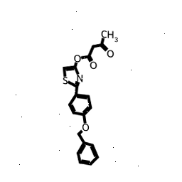 CC(=O)CC(=O)Oc1csc(-c2ccc(OCc3ccccc3)cc2)n1